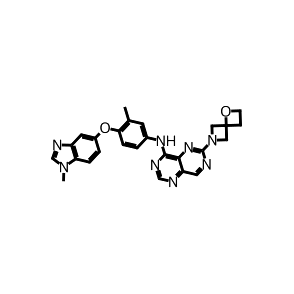 Cc1cc(Nc2ncnc3cnc(N4CC5(CCO5)C4)nc23)ccc1Oc1ccc2c(c1)ncn2C